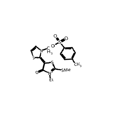 CC[N+]1=C(SC)SC(=C2SC=CN2C)C1=O.Cc1ccc(S(=O)(=O)[O-])cc1